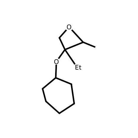 CCC1(OC2CCCCC2)COC1C